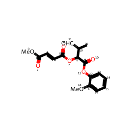 COC(=O)C=CC(=O)OC(C(=O)Oc1ccccc1OC)C(C)C=O